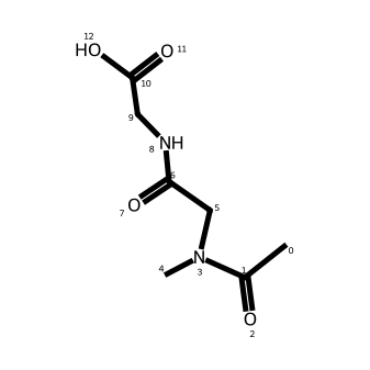 CC(=O)N(C)CC(=O)NCC(=O)O